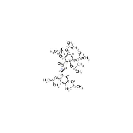 CC(C)Oc1ccc(OC(C)C)c(/C=C/C(=O)c2c(OC(C)C)c(OC(C)C)cc(OC(C)C)c2OC(C)C)c1